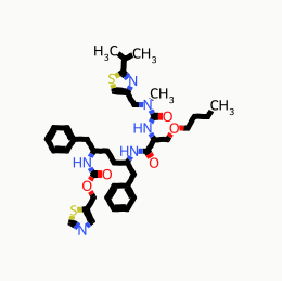 CCCCOCC(NC(=O)N(C)Cc1csc(C(C)C)n1)C(=O)NC(CCC(Cc1ccccc1)NC(=O)OCc1cncs1)Cc1ccccc1